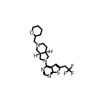 FC(F)(F)Cc1cc2c(N3C[C@H]4CCN(CC5CCCCO5)C[C@H]4C3)ncnc2s1